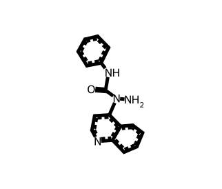 NN(C(=O)Nc1ccccc1)c1ccnc2ccccc12